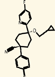 N#C[C@]1(c2ccc(F)cc2)CC[C@](OCC2CC2)(c2ccc(F)cn2)CC1